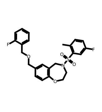 Cc1ccc(F)cc1S(=O)(=O)N1CCOc2ccc(COCc3ccccc3F)cc2C1